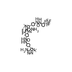 CC(C)n1cc(-c2ccc(NC(=O)Nc3ccc(-c4nc(N)c5c(-c6ccc(NC(=O)Nc7cccc(C(F)(F)C(F)(F)F)c7)cc6)cn(C(C)C)c5n4)c(C(F)(F)F)c3)cc2)c2c(N)ncnc21